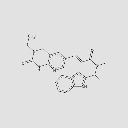 CC(c1cc2ccccc2[nH]1)N(C)C(=O)C=Cc1cnc2c(c1)CN(CC(=O)O)C(=O)N2